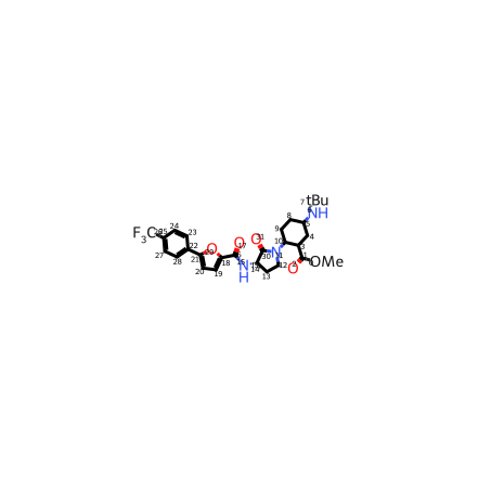 COC(=O)C1CC(NC(C)(C)C)CCC1N1CC[C@H](NC(=O)c2ccc(-c3ccc(C(F)(F)F)cc3)o2)C1=O